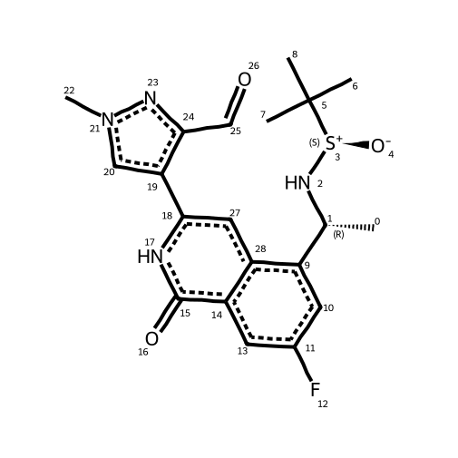 C[C@@H](N[S@+]([O-])C(C)(C)C)c1cc(F)cc2c(=O)[nH]c(-c3cn(C)nc3C=O)cc12